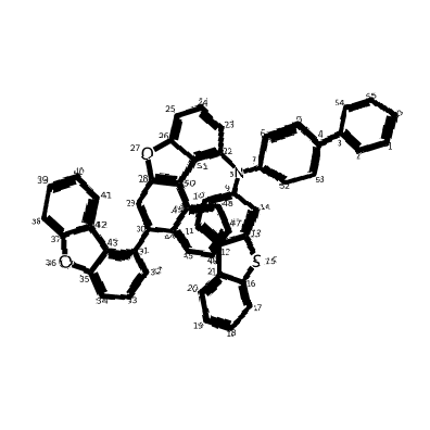 c1ccc(-c2ccc(N(c3ccc4c(c3)sc3ccccc34)c3cccc4oc5cc(-c6cccc7oc8ccccc8c67)c6ccccc6c5c34)cc2)cc1